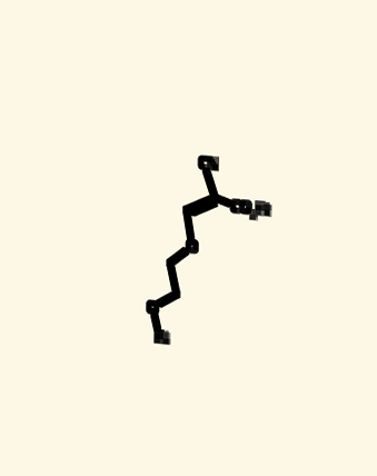 CCOCCOC=C(C#N)C(=O)OCC